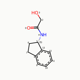 O=C(CO)N[C@H]1CCc2ccccc21